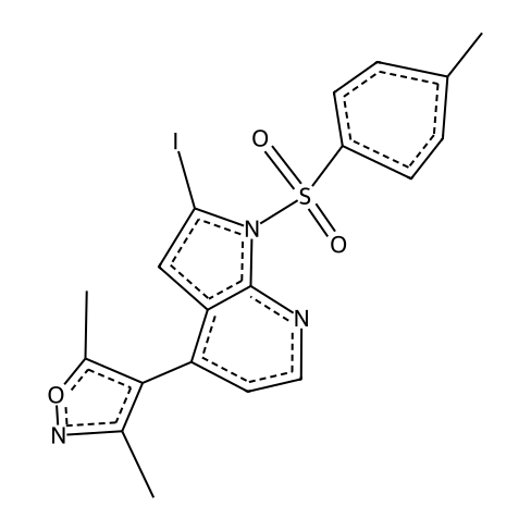 Cc1ccc(S(=O)(=O)n2c(I)cc3c(-c4c(C)noc4C)ccnc32)cc1